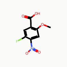 COc1cc([N+](=O)[O-])c(F)cc1C(=O)O